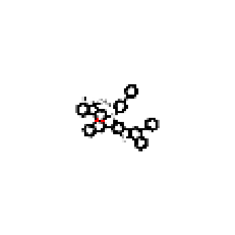 CC1(C)c2ccccc2-c2ccc(N(c3ccc(-c4ccccc4)cc3)c3cc4c(cc3-c3ccc5ccccc5c3)oc3c5ccccc5c(-c5ccccc5)cc43)cc21